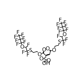 O=C(/C=C(\C(=O)OCCSC(F)(F)C(F)OC(F)(F)C(F)(F)C(F)(F)F)S(=O)(=O)O)OCCSC(F)(F)C(F)OC(F)(F)C(F)(F)C(F)(F)F